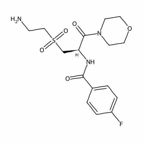 NCCS(=O)(=O)C[C@H](NC(=O)c1ccc(F)cc1)C(=O)N1CCOCC1